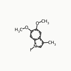 COc1cc2c(C)cn(I)c2cc1OC